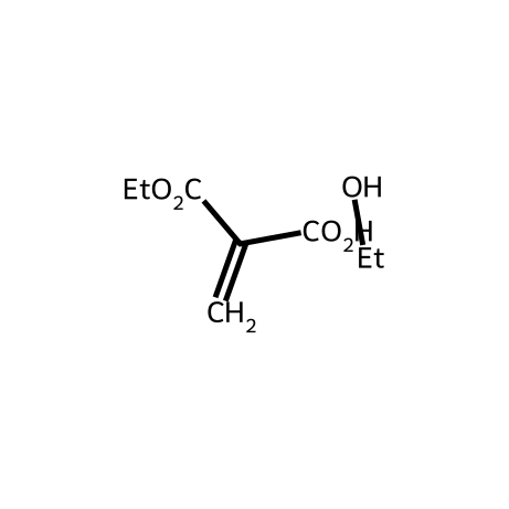 C=C(C(=O)O)C(=O)OCC.CCO